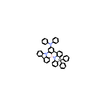 c1ccc(N(c2ccccc2)c2cc3c4c(c2)-n2c5ccccc5c5cccc(c52)B4N2c4ccccc4[Si](c4ccccc4)(c4ccccc4)c4cccc-3c42)cc1